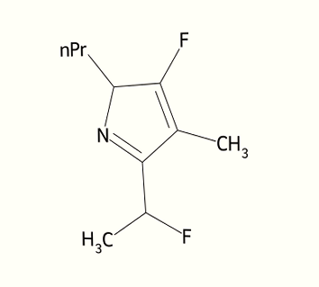 CCCC1N=C(C(C)F)C(C)=C1F